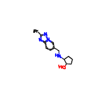 CC(C)c1nc2ccc(CNC3CCCC3O)cn2n1